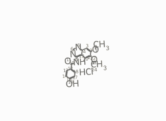 COc1cc2ncnc(NC(=O)c3ccc(O)cc3)c2cc1OC.Cl